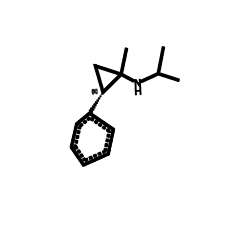 CC(C)NC1(C)C[C@H]1c1ccccc1